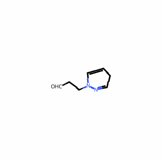 O=CCCN1C=CCC=N1